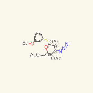 CCOc1cccc(S[C@H]2O[C@H](COC(C)=O)[C@H](OC(C)=O)[C@H](N=[N+]=[N-])[C@H]2OC(C)=O)c1